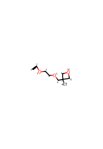 C=COCCOCC1(CC)COC1